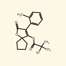 CCC(C)(C)C(=O)OC1=C(c2ccccc2C)C(=O)OC12CCCC2